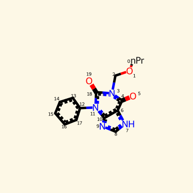 CCCOCn1c(=O)c2[nH]cnc2n(-c2ccccc2)c1=O